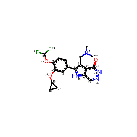 CN(C)Cc1c(-c2ccc(OC(F)F)c(OC3CC3)c2)[nH]c2cn[nH]c(=O)c12